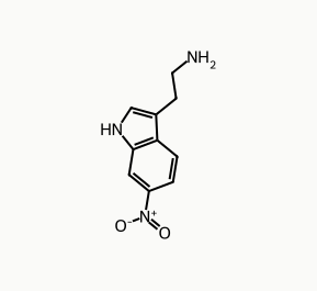 NCCc1c[nH]c2cc([N+](=O)[O-])ccc12